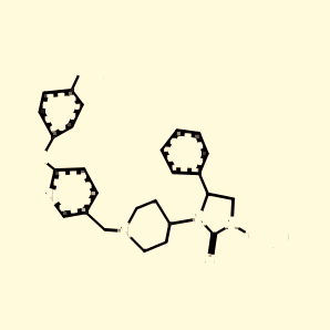 CCOC(=O)N1CC(c2ccccc2)N(C2CCN(Cc3ccc(Sc4ccc(C(=O)O)cc4)nc3)CC2)C1=O